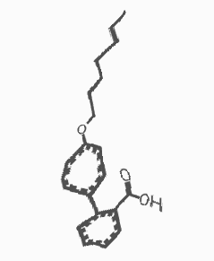 CCCCCCCOc1ccc(-c2ccccc2C(=O)O)cc1